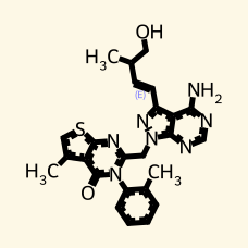 Cc1ccccc1-n1c(Cn2nc(/C=C/C(C)CO)c3c(N)ncnc32)nc2scc(C)c2c1=O